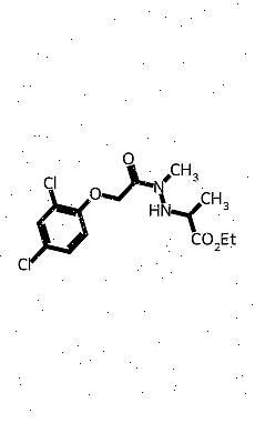 CCOC(=O)C(C)NN(C)C(=O)COc1ccc(Cl)cc1Cl